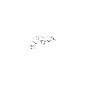 CC(C)Cc1nc2cnc(-c3cccc4ccoc34)cc2n1[C@@H]1CCC[C@H](NC(=O)c2ncc(Cl)s2)C1